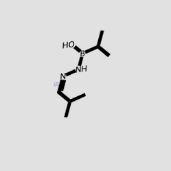 CC(C)/C=N\NB(O)C(C)C